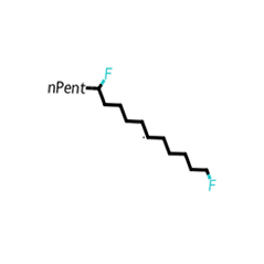 CCCCCC(F)CCCC[CH]CCCCCF